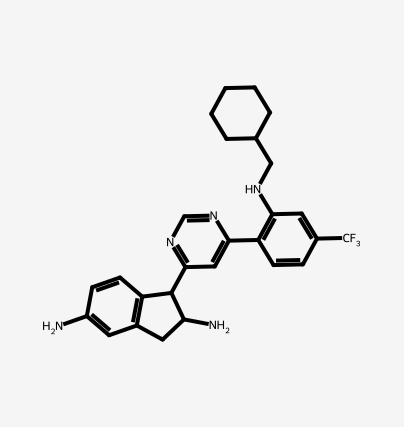 Nc1ccc2c(c1)CC(N)C2c1cc(-c2ccc(C(F)(F)F)cc2NCC2CCCCC2)ncn1